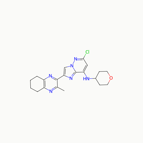 Cc1nc2c(nc1-c1cn3nc(Cl)cc(NC4CCOCC4)c3n1)CCCC2